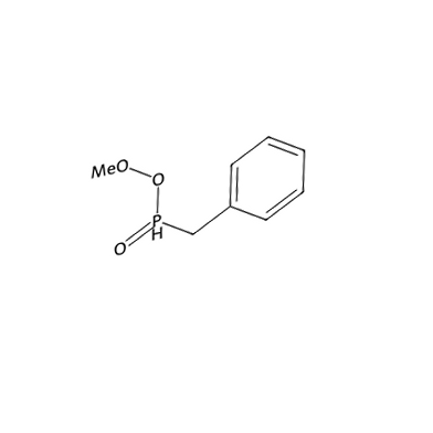 COO[PH](=O)Cc1ccccc1